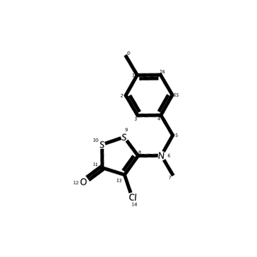 Cc1ccc(CN(C)c2ssc(=O)c2Cl)cc1